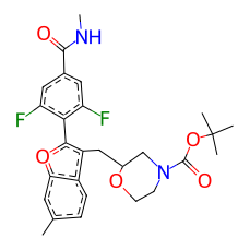 CNC(=O)c1cc(F)c(-c2oc3cc(C)ccc3c2CC2CN(C(=O)OC(C)(C)C)CCO2)c(F)c1